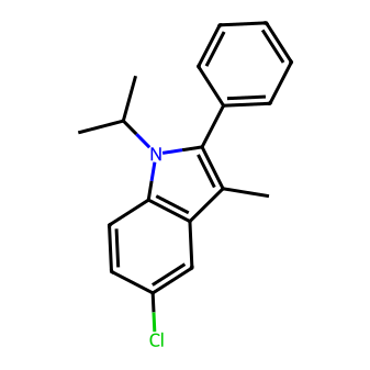 Cc1c(-c2ccccc2)n(C(C)C)c2ccc(Cl)cc12